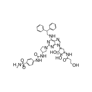 NS(=O)(=O)c1ccc(NC(=O)NC2CCN(c3nc(NCC(c4ccccc4)c4ccccc4)c4ncn([C@@H]5C[C@H](NC(=O)CCO)[C@@H](O)[C@H]5O)c4n3)C2)cc1